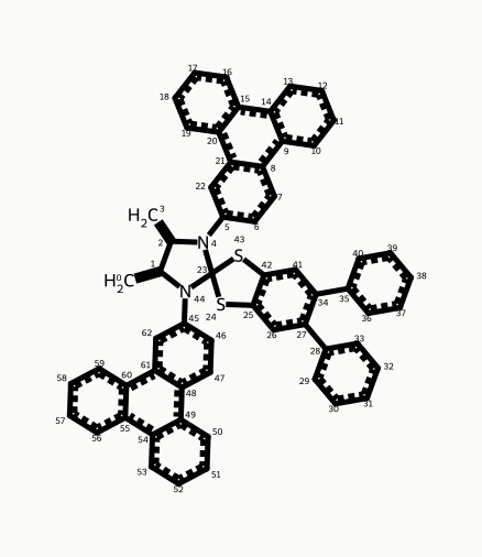 C=C1C(=C)N(c2ccc3c4ccccc4c4ccccc4c3c2)C2(Sc3cc(-c4ccccc4)c(-c4ccccc4)cc3S2)N1c1ccc2c3ccccc3c3ccccc3c2c1